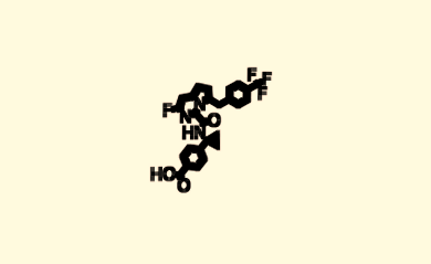 O=C(O)c1ccc(C2(NC(=O)c3nc(F)cc4ccc(Cc5ccc(C(F)(F)F)cc5)n34)CC2)cc1